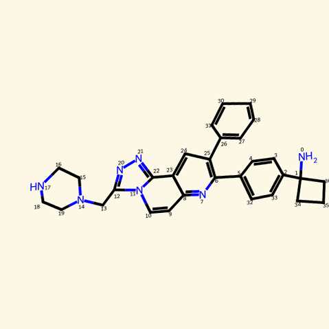 NC1(c2ccc(-c3nc4ccn5c(CN6CCNCC6)nnc5c4cc3-c3ccccc3)cc2)CCC1